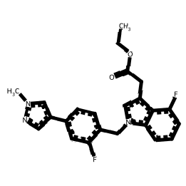 CCOC(=O)Cc1cn(Cc2ccc(-c3cnn(C)c3)cc2F)c2cccc(F)c12